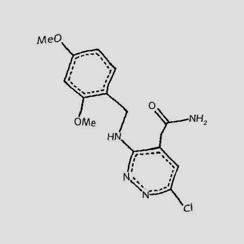 COc1ccc(CNc2nnc(Cl)cc2C(N)=O)c(OC)c1